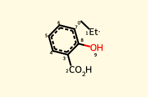 C[CH]C.O=C(O)c1ccccc1O